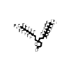 O=C1CCC(CCC(F)(F)C(F)(F)C(F)(F)C(F)(F)C(F)(F)C(F)(F)F)(CCC(F)(F)C(F)(F)C(F)(F)C(F)(F)C(F)(F)C(F)(F)F)O1